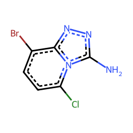 Nc1nnc2c(Br)ccc(Cl)n12